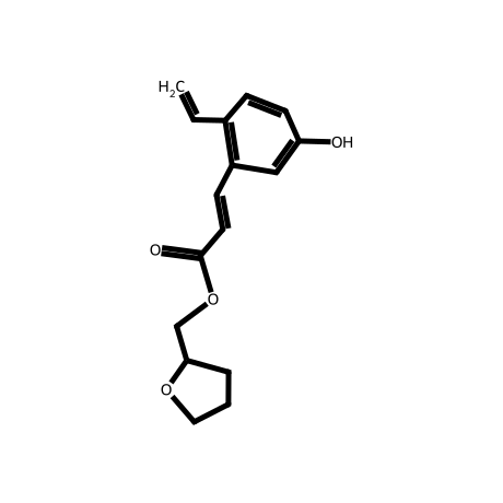 C=Cc1ccc(O)cc1C=CC(=O)OCC1CCCO1